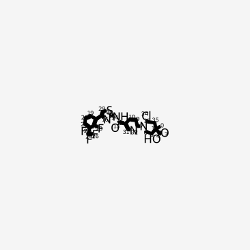 CC1(C(=O)O)CCN(c2ccc(C(=O)Nc3nc(-c4cccc(C(F)(F)F)c4F)cs3)cn2)C(Cl)C1